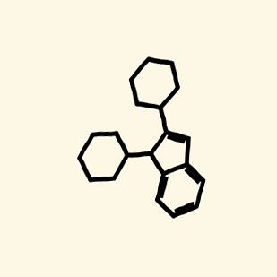 C1=C(C2CCCCC2)C(C2CCCCC2)c2ccccc21